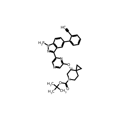 C#Cc1ccccc1-c1ccc2c(c1)c(-c1cncc(O[C@H]3CN(C(=O)OC(C)(C)C)CCC34CC4)n1)nn2P